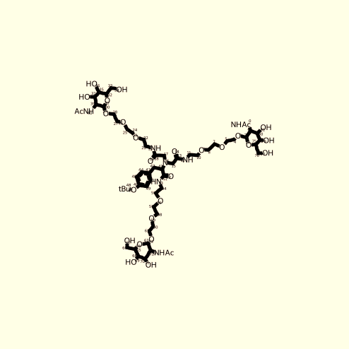 CC(=O)NC1C(OCCOCCOCCNC(=O)CN(CC(=O)NCCOCCOCCOC2OC(CO)C(O)C(O)C2NC(C)=O)C(Cc2ccc(OC(C)(C)C)cc2)C(=O)NCCOCCOCCOC2OC(CO)C(O)C(O)C2NC(C)=O)OC(CO)C(O)C1O